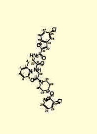 O=C(N[C@@H](Cc1ccccn1)C(=O)NCC(=O)N1CCC(Oc2ncccc2Cl)CC1)c1cc2cc(Cl)ccc2o1